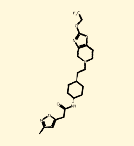 Cc1cc(CC(=O)N[C@H]2CC[C@H](CCN3CCc4sc(OCC(F)(F)F)nc4C3)CC2)on1